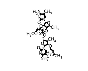 COCCO[C@@H]1[C@H](C)[C@@H](COP(O)(=S)O[C@H]2[C@@H](OCCOC)[C@H](n3cc(C)c(N)nc3=O)O[C@@H]2C)O[C@H]1n1cc(C)c(N)nc1=O